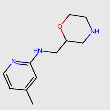 Cc1ccnc(NCC2CNCCO2)c1